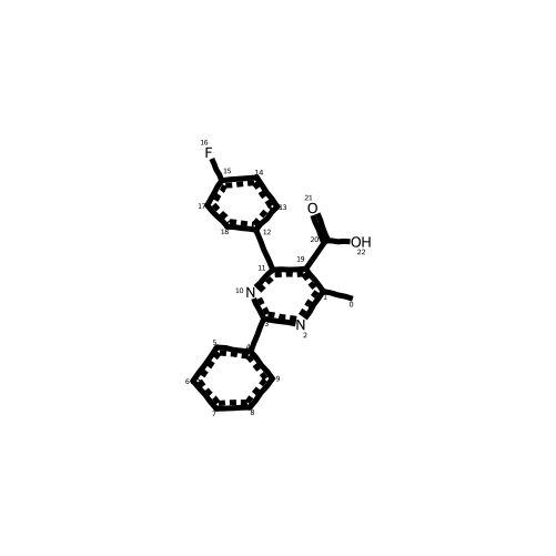 Cc1nc(-c2ccccc2)nc(-c2ccc(F)cc2)c1C(=O)O